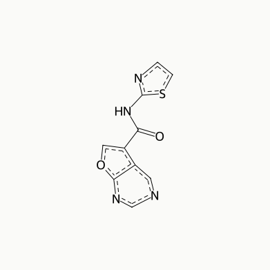 O=C(Nc1nccs1)c1coc2ncncc12